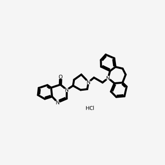 Cl.O=c1c2ccccc2ncn1C1CCN(CCN2c3ccccc3CCc3ccccc32)CC1